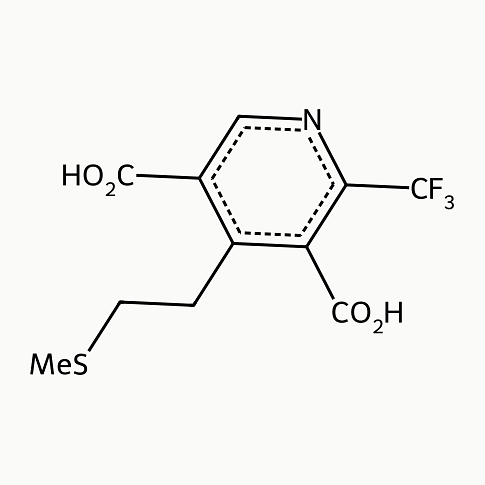 CSCCc1c(C(=O)O)cnc(C(F)(F)F)c1C(=O)O